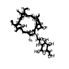 C=Cc1c(C)c2cc3nc(c4c5[nH]c(cc6nc(cc1[nH]2)C(C)=C6CC)c(C)c5C(=O)C4)[C@@H](CCC(=O)NC1C(O)OC(CO)C(O)C1O)[C@@H]3C